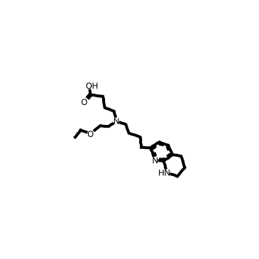 CCOCCN(CCCCc1ccc2c(n1)NCCC2)CCCC(=O)O